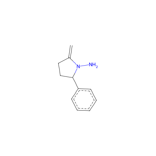 C=C1CCC(c2ccccc2)N1N